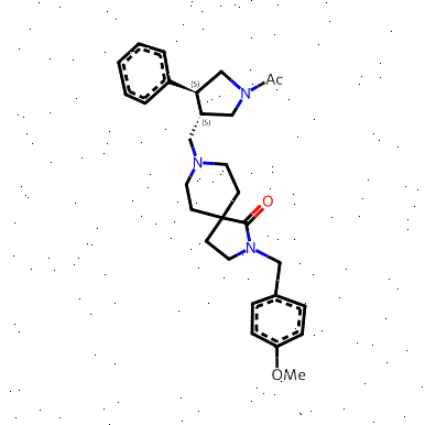 COc1ccc(CN2CCC3(CCN(C[C@H]4CN(C(C)=O)C[C@@H]4c4ccccc4)CC3)C2=O)cc1